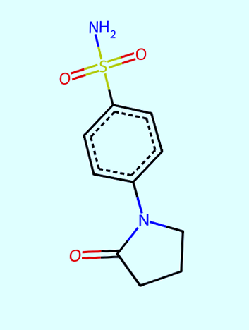 NS(=O)(=O)c1ccc(N2CCCC2=O)cc1